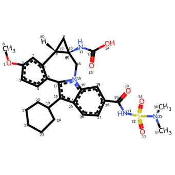 COc1ccc2c(c1)[C@@H]1C[C@]1(NC(=O)O)Cn1c-2c(C2CCCCC2)c2ccc(C(=O)NS(=O)(=O)N(C)C)cc21